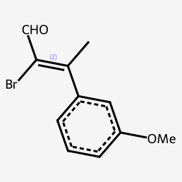 COc1cccc(/C(C)=C(\Br)C=O)c1